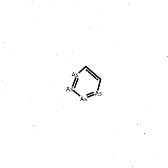 C1=C[As]=[As][As]=[As]1